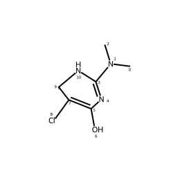 CN(C)C1=NC(O)=C(Cl)[CH]N1